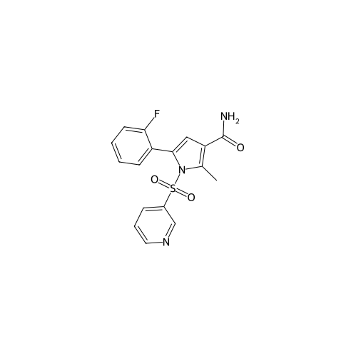 Cc1c(C(N)=O)cc(-c2ccccc2F)n1S(=O)(=O)c1cccnc1